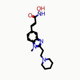 Cn1c(CCN2CCCCC2)nc2cc(C=CC(=O)NO)ccc21